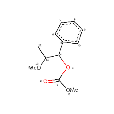 COC(=O)OC(c1ccccc1)C(C)OC